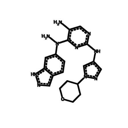 Nc1cnc(Nc2cnn(C3CCOCC3)c2)nc1N(N)c1ccc2cn[nH]c2c1